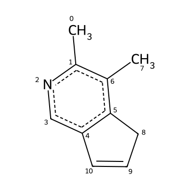 Cc1ncc2c(c1C)CC=C2